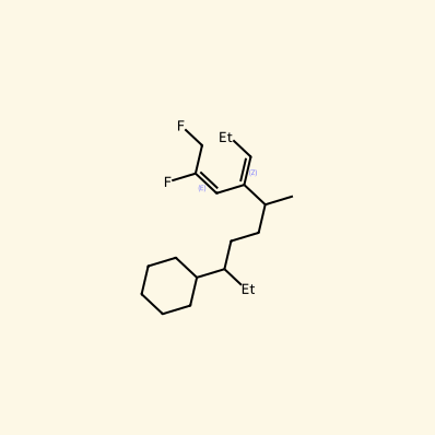 CC/C=C(\C=C(\F)CF)C(C)CCC(CC)C1CCCCC1